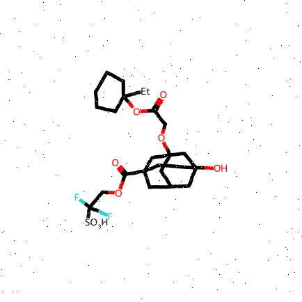 CCC1(OC(=O)COC23CC4CC(O)(C2)CC(C(=O)OCC(F)(F)S(=O)(=O)O)(C4)C3)CCCCC1